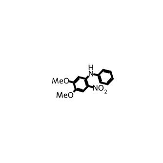 COc1cc(Nc2ccccc2)c([N+](=O)[O-])cc1OC